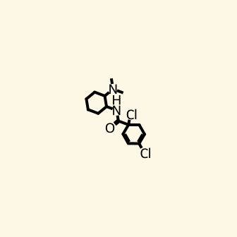 CN(C)C1CCCCC1NC(=O)C1(Cl)C=CC(Cl)=CC1